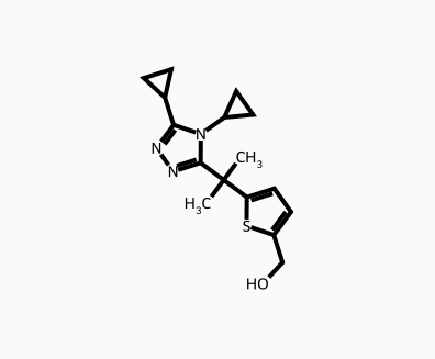 CC(C)(c1ccc(CO)s1)c1nnc(C2CC2)n1C1CC1